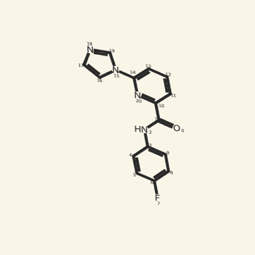 O=C(Nc1ccc(F)cc1)c1cccc(-n2ccnc2)n1